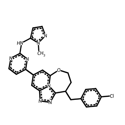 Cn1nccc1Nc1nccc(-c2cc3n4c(nnc4c2)C(Cc2ccc(Cl)cc2)CCO3)n1